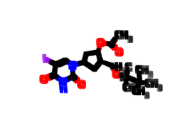 CC(=O)O[C@@H]1CC(n2cc(I)c(=O)[nH]c2=O)C[C@@H]1CO[Si](C)(C)C(C)(C)C